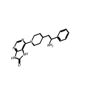 NC(CC1CCN(c2ncnc3[nH]c(=O)[nH]c23)CC1)c1ccccc1